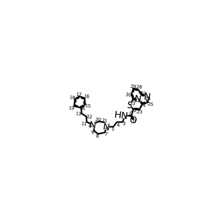 O=C(NCCCN1CCCN(CCCc2ccccc2)CC1)C1=Cc2cnc3cccc(n23)S1